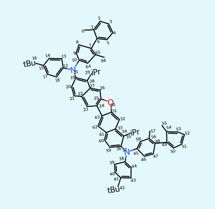 Cc1ccccc1-c1ccc(N(c2ccc(C(C)(C)C)cc2)c2ccc3cc4c(cc3c2C(C)C)oc2cc3c(C(C)C)c(N(c5ccc(C(C)(C)C)cc5)c5ccc(-c6ccccc6C)c(C)c5)ccc3cc24)cc1C